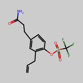 C=CCc1cc(CCC(N)=O)ccc1OS(=O)(=O)C(F)(F)F